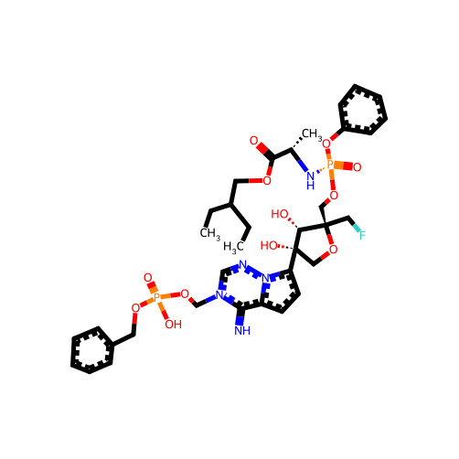 CCC(CC)COC(=O)[C@H](C)N[P@](=O)(OC[C@@]1(CF)OC[C@@](O)(c2ccc3c(=N)n(COP(=O)(O)OCc4ccccc4)cnn23)[C@@H]1O)Oc1ccccc1